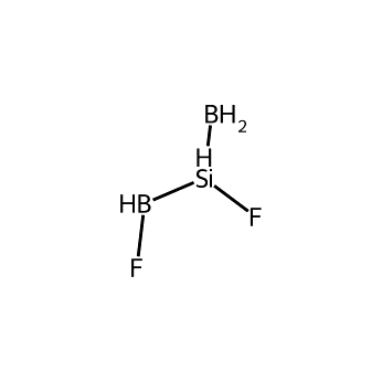 B[SiH](F)BF